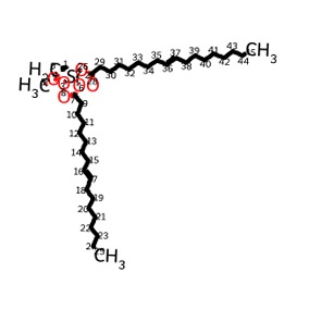 C=C[Si](OOC)(OC(=O)CCCCCCCC=CCCCCCCCC)OC(=O)CCCCCCCC=CCCCCCCCC